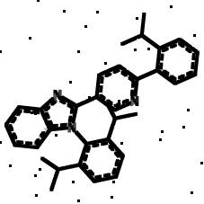 CC(C)c1ccccc1-c1ccc(-c2nc3ccccc3n2-c2c(C(C)C)cccc2C(C)C)cn1